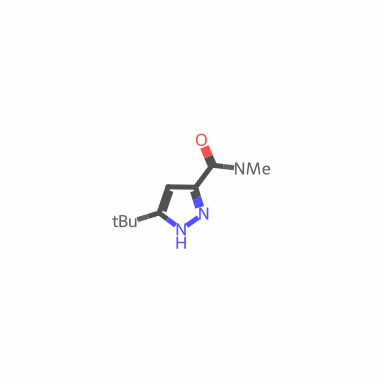 CNC(=O)c1cc(C(C)(C)C)[nH]n1